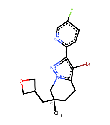 C[C@]1(CC2COC2)CCc2c(Br)c(-c3ccc(F)cn3)nn2C1